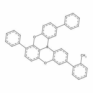 Cc1ccccc1-c1ccc2c(c1)Oc1ccc(-c3ccccc3)c3c1B2c1cc(-c2ccccc2)ccc1O3